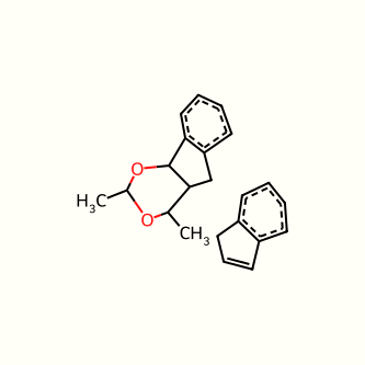 C1=Cc2ccccc2C1.CC1OC(C)C2Cc3ccccc3C2O1